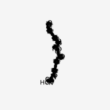 O=C(O)c1nccn1Cc1cc(-c2ccc(C#Cc3ccc(CN4CCOCC4CCOC(=O)c4nccn4Cc4cc(-c5ccc(C#Cc6ccc(CN7CCOCC7)cc6)cc5)on4)cc3)cc2)on1